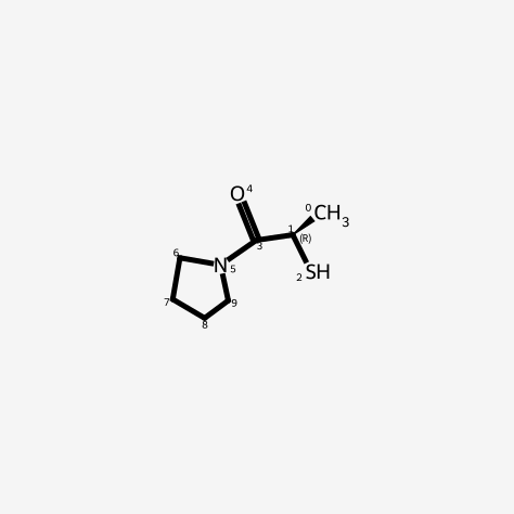 C[C@@H](S)C(=O)N1CCCC1